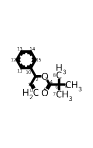 C=CC(OC(=O)C(C)(C)C)c1ccccc1